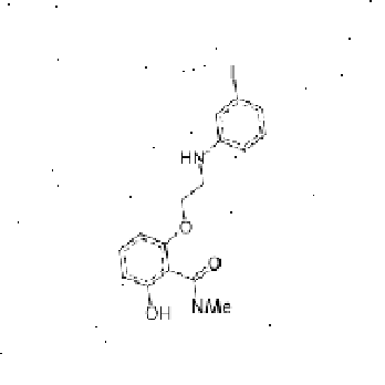 CNC(=O)c1c(O)cccc1OCCNc1cccc(I)c1